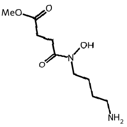 COC(=O)CCC(=O)N(O)CCCCN